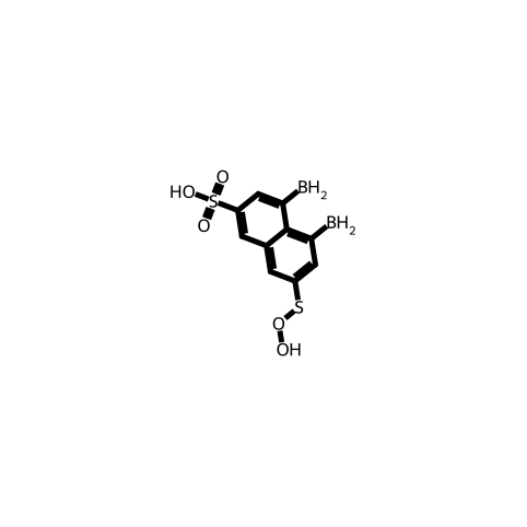 Bc1cc(SOO)cc2cc(S(=O)(=O)O)cc(B)c12